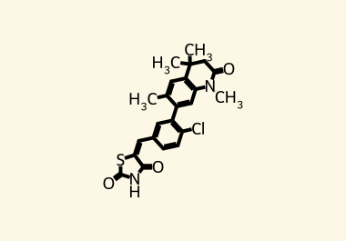 Cc1cc2c(cc1-c1cc(/C=C3/SC(=O)NC3=O)ccc1Cl)N(C)C(=O)CC2(C)C